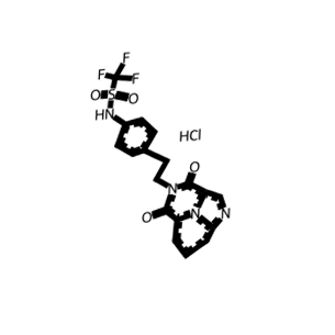 Cl.O=c1c2cccc3ncc(c(=O)n1CCc1ccc(NS(=O)(=O)C(F)(F)F)cc1)n32